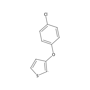 Clc1ccc(Oc2[c]scc2)cc1